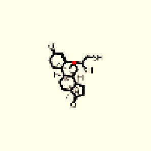 C[C@]12CC[C@@H]3[C@@H](CCC4=CC(=O)CC[C@@]43CCC(S)CS)[C@@H]1CCC2=O